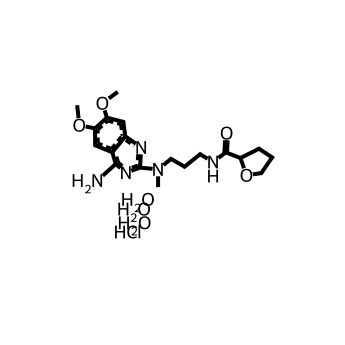 COc1cc2nc(N(C)CCCNC(=O)C3CCCO3)nc(N)c2cc1OC.Cl.O.O.O